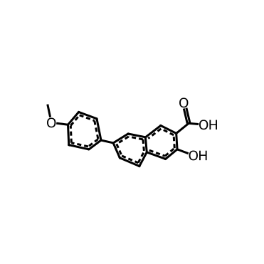 COc1ccc(-c2ccc3cc(O)c(C(=O)O)cc3c2)cc1